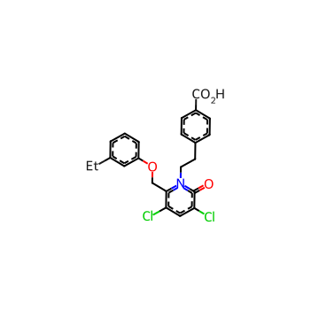 CCc1cccc(OCc2c(Cl)cc(Cl)c(=O)n2CCc2ccc(C(=O)O)cc2)c1